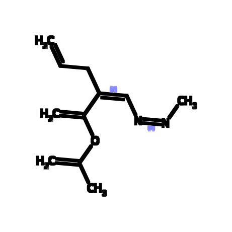 C=CC/C(=C/N=N\C)C(=C)OC(=C)C